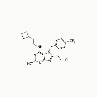 N#Cc1nc(NCCC2CCC2)c2c(n1)nc(CCCl)n2Cc1ccc(C(F)(F)F)cc1